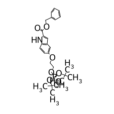 CC(C)(C)OP(=O)(OCCOc1ccc2[nH]c(C(=O)OCc3ccccc3)cc2c1)OC(C)(C)C